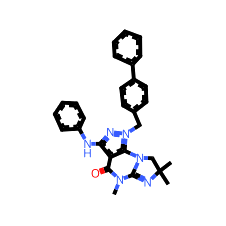 CN1C(=O)c2c(Nc3ccccc3)nn(Cc3ccc(-c4ccccc4)cc3)c2N2CC(C)(C)N=C12